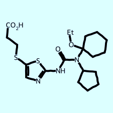 CCOC1(N(C(=O)Nc2ncc(SCCC(=O)O)s2)C2CCCC2)CCCCC1